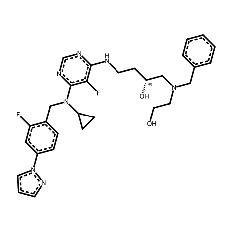 OCCN(Cc1ccccc1)C[C@H](O)CCNc1ncnc(N(Cc2ccc(-n3cccn3)cc2F)C2CC2)c1F